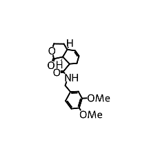 COc1ccc(CNC(=O)C2CC=C[C@@H]3CCOC(=O)[C@H]23)cc1OC